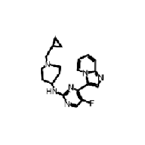 Fc1cnc(NC2CCN(CC3CC3)CC2)nc1-c1cnc2ccccn12